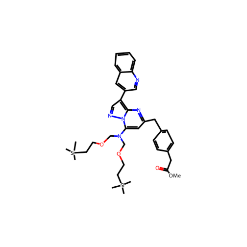 COC(=O)Cc1ccc(Cc2cc(N(COCC[Si](C)(C)C)COCC[Si](C)(C)C)n3ncc(-c4cnc5ccccc5c4)c3n2)cc1